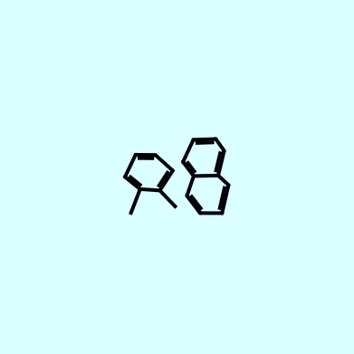 Cc1ccccc1C.c1ccc2ccccc2c1